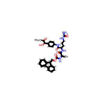 COC(=O)C(O)c1ccc(NC(=O)C(CCCNC(N)=O)NC(=O)C(NC(=O)OCC2c3ccccc3-c3ccccc32)C(C)C)cc1